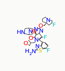 Nc1nc2c(-c3c(F)c4nc(OC[C@@]56CCCN5C[C@H](F)C6)nc(N5C6CNCC5COC6)c4c(=O)n3CC3COC3)ccc(F)c2s1